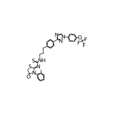 Cc1ccccc1N1C(=O)CS/C1=N\C(=S)NCCCc1ccc(-c2ncn(-c3ccc(OC(F)(F)F)cc3)n2)cc1